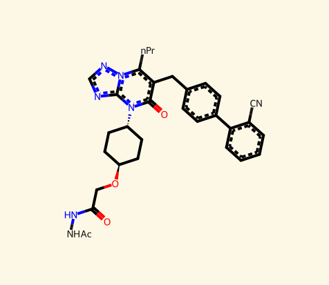 CCCc1c(Cc2ccc(-c3ccccc3C#N)cc2)c(=O)n([C@H]2CC[C@H](OCC(=O)NNC(C)=O)CC2)c2ncnn12